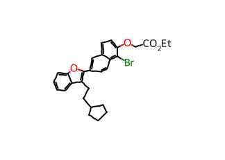 CCOC(=O)COc1ccc2cc(-c3oc4ccccc4c3CCC3CCCC3)ccc2c1Br